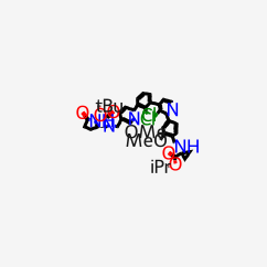 COc1cc(-c2nccc(-c3cccc(-c4ccc(CN(C[C@@H]5CCC(=O)N5)C(=O)OC(C)(C)C)c(OC)n4)c3Cl)c2Cl)ccc1CNC1(C(=O)OC(C)C)CC1